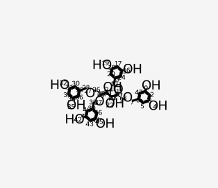 Oc1cc(O)cc(COC[C@@H](OCc2cc(O)cc(O)c2)[C@@H](O)[C@H](O)[C@@H](COCc2cc(O)cc(O)c2)OCc2cc(O)cc(O)c2)c1